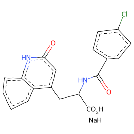 O=C(NC(Cc1cc(=O)[nH]c2ccccc12)C(=O)O)c1ccc(Cl)cc1.[NaH]